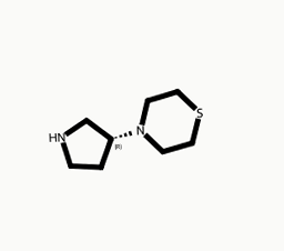 C1C[C@@H](N2CCSCC2)CN1